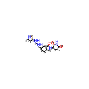 Cc1cc(NCNCc2ccc3c(c2)C(=O)N(C2CCC(=O)NC2=O)C3)sn1